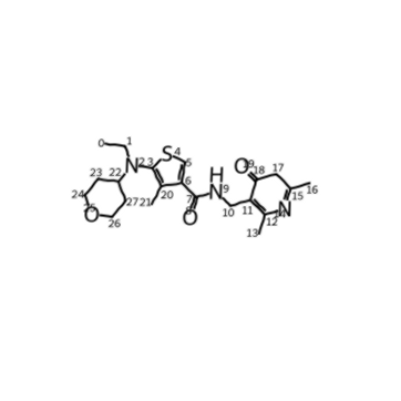 CCN(c1scc(C(=O)NCC2=C(C)N=C(C)CC2=O)c1C)C1CCOCC1